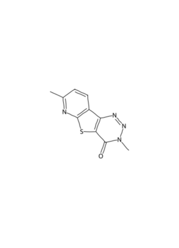 Cc1ccc2c(n1)sc1c(=O)n(C)nnc12